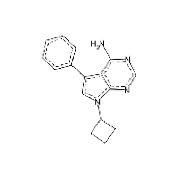 Nc1ncnc2c1c(-c1ccccc1)cn2C1CCC1